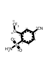 N#Cc1ccc(S(N)(=O)=O)c(OC(F)(F)F)c1